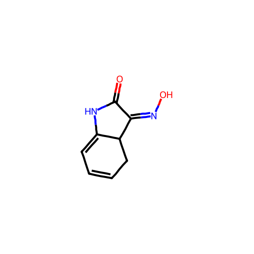 O=C1NC2=CC=CCC2C1=NO